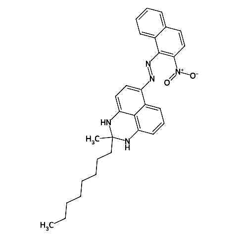 CCCCCCCCC1(C)Nc2cccc3c(N=Nc4c([N+](=O)[O-])ccc5ccccc45)ccc(c23)N1